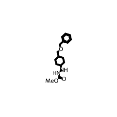 COC(=O)NNC1CCC(COCc2ccccc2)CC1